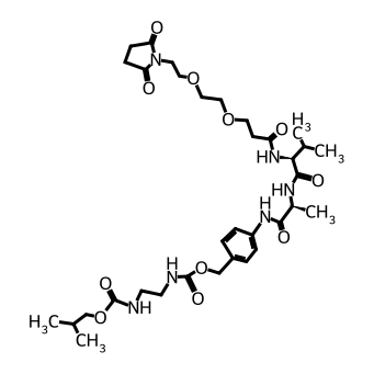 CC(C)COC(=O)NCCNC(=O)OCc1ccc(NC(=O)[C@H](C)NC(=O)[C@@H](NC(=O)CCOCCOCCN2C(=O)CCC2=O)C(C)C)cc1